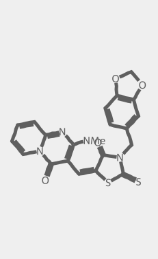 CNc1nc2ccccn2c(=O)c1/C=C1/SC(=S)N(Cc2ccc3c(c2)OCO3)C1=O